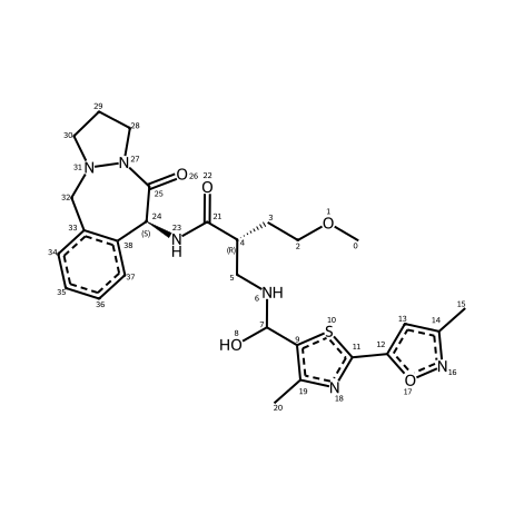 COCC[C@H](CNC(O)c1sc(-c2cc(C)no2)nc1C)C(=O)N[C@@H]1C(=O)N2CCCN2Cc2ccccc21